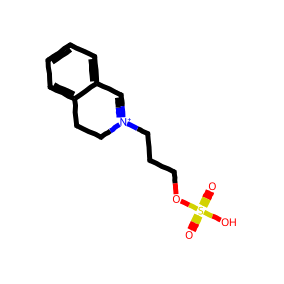 O=S(=O)(O)OCCC[N+]1=Cc2ccccc2CC1